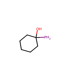 OC1(P)CCCCC1